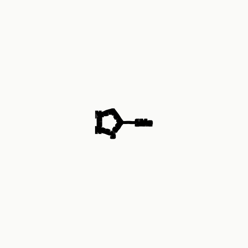 [CH2]Sc1cnns1